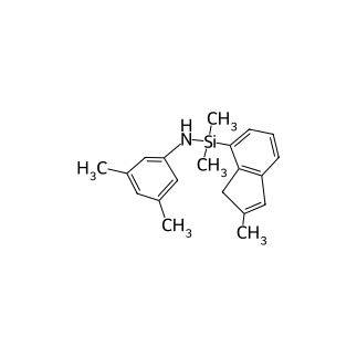 CC1=Cc2cccc([Si](C)(C)Nc3cc(C)cc(C)c3)c2C1